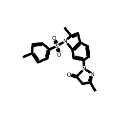 CC1=NN(c2ccc3cc(C)n(S(=O)(=O)c4ccc(C)cc4)c3c2)C(=O)C1